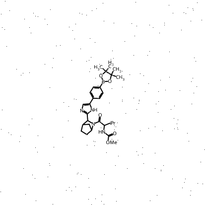 COC(=O)NC(C(=O)N1C2CCC(C2)C1c1ncc(-c2ccc(B3OC(C)(C)C(C)(C)O3)cc2)[nH]1)C(C)C